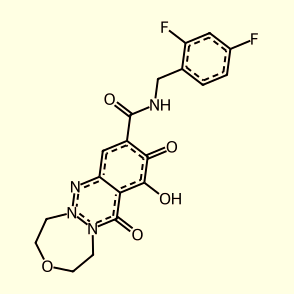 O=C(NCc1ccc(F)cc1F)c1cc2nn3n(c(=O)c-2c(O)c1=O)CCOCC3